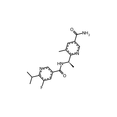 Cc1cc(C(N)=O)cnc1[C@@H](C)NC(=O)c1cnc(C(C)C)c(F)c1